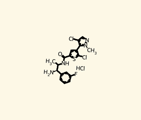 CC(NC(=O)c1cc(-c2c(Cl)cnn2C)c(Cl)s1)[C@H](N)c1cccc(F)c1.Cl